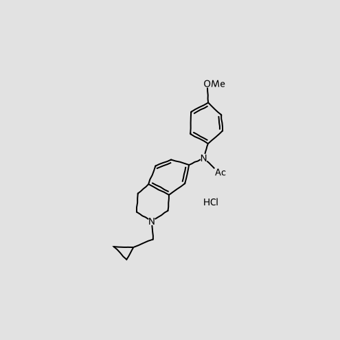 COc1ccc(N(C(C)=O)c2ccc3c(c2)CN(CC2CC2)CC3)cc1.Cl